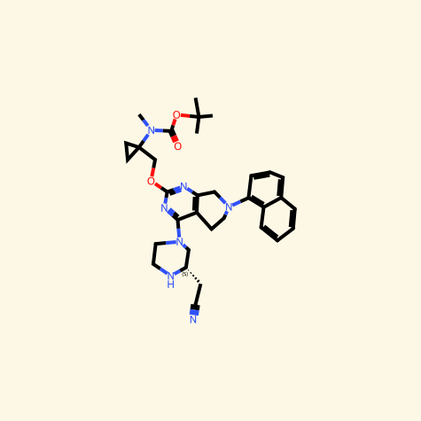 CN(C(=O)OC(C)(C)C)C1(COc2nc3c(c(N4CCN[C@@H](CC#N)C4)n2)CCN(c2c[c]cc4ccccc24)C3)CC1